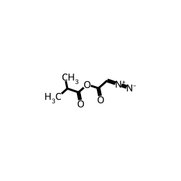 CC(C)C(=O)OC(=O)C=[N+]=[N-]